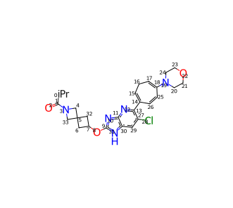 CC(C)C(=O)N1CC2(CC(Oc3nc4nc(C5=CCC=C(N6CCOCC6)C=C5)c(Cl)cc4[nH]3)C2)C1